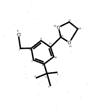 CC(C)(C)c1cc(CCl)cc(C2OCCO2)c1